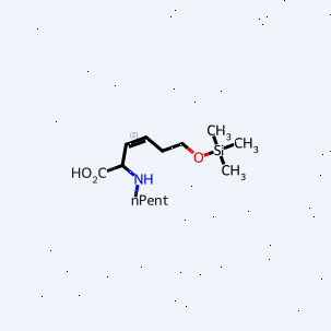 CCCCCNC(/C=C\CCO[Si](C)(C)C)C(=O)O